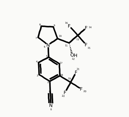 N#Cc1ccc(N2CCCC2[C@@H](O)C(F)(F)F)cc1C(F)(F)F